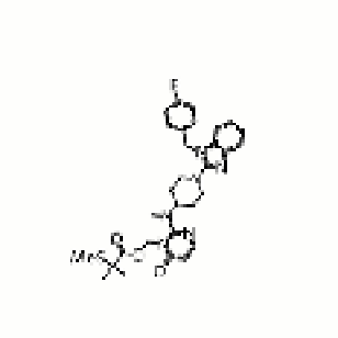 CSC(C)(C)C(=O)OCn1c(N(C)C2CCN(c3nc4ccccc4n3Cc3ccc(F)cc3)CC2)nccc1=O